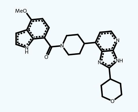 COc1ccc(C(=O)N2CCC(c3ccnc4[nH]c(C5CCOCC5)nc34)CC2)c2[nH]ccc12